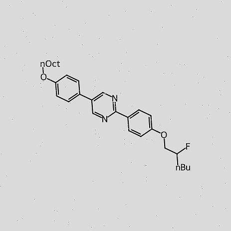 CCCCCCCCOc1ccc(-c2cnc(-c3ccc(OCC(F)CCCC)cc3)nc2)cc1